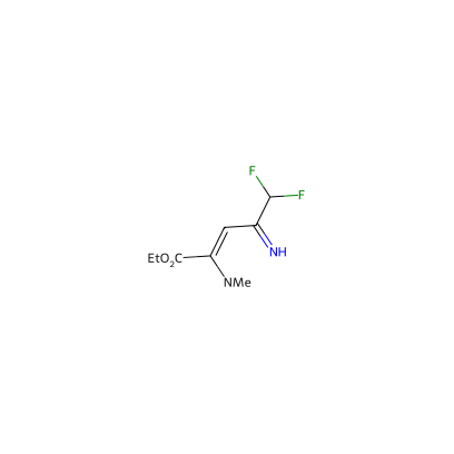 CCOC(=O)/C(=C/C(=N)C(F)F)NC